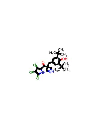 CC(C)(C)c1cc(CC2(C(=O)c3[nH]c(Cl)c(Cl)c3Cl)CNC2)cc(C(C)(C)C)c1O